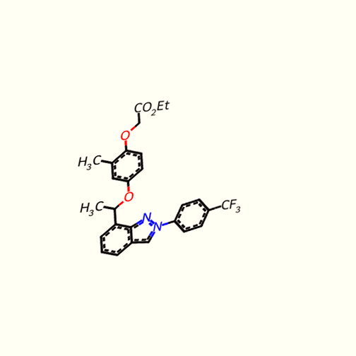 CCOC(=O)COc1ccc(OC(C)c2cccc3cn(-c4ccc(C(F)(F)F)cc4)nc23)cc1C